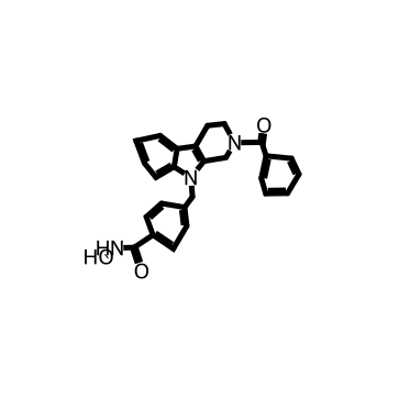 O=C(NO)c1ccc(Cn2c3c(c4ccccc42)CCN(C(=O)c2ccccc2)C3)cc1